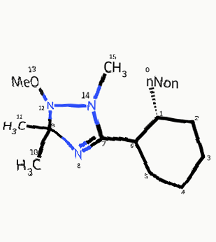 CCCCCCCCC[C@@H]1CCCCC1C1=NC(C)(C)N(OC)N1C